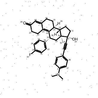 CN(C)c1ccc(C#C[C@]2(O)CC[C@H]3[C@@H]4CCC5=CC(=O)CCC5=C4[C@@H](c4ccc(F)cc4)C[C@@]32C)cc1